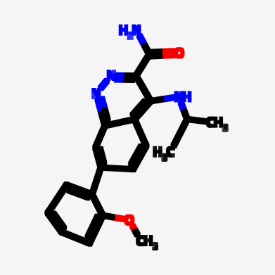 COc1ccccc1-c1ccc2c(NC(C)C)c(C(N)=O)nnc2c1